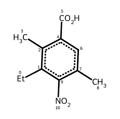 CCc1c(C)c(C(=O)O)cc(C)c1[N+](=O)[O-]